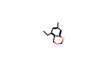 CCc1cc(C)cc2c1COCO2